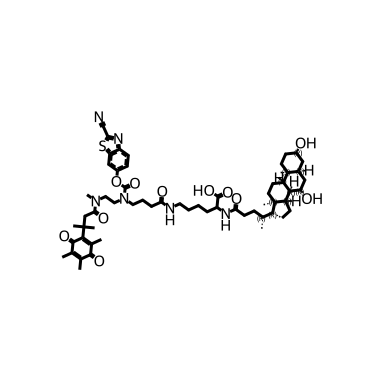 CC1=C(C)C(=O)C(C(C)(C)CC(=O)N(C)CCN(CCCC(=O)NCCCCC(NC(=O)CC[C@@H](C)[C@H]2CC[C@H]3[C@@H]4[C@H](O)C[C@@H]5C[C@H](O)CC[C@]5(C)[C@H]4CC[C@]23C)C(=O)O)C(=O)Oc2ccc3nc(C#N)sc3c2)=C(C)C1=O